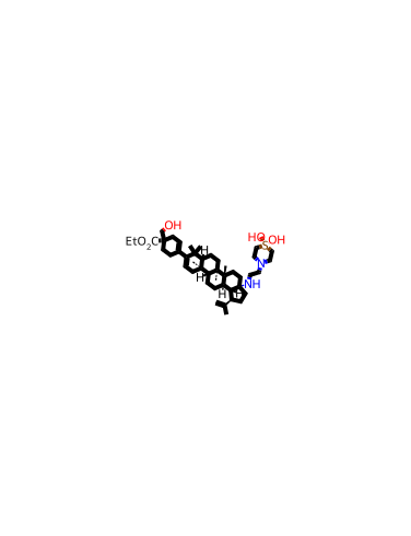 C=C(C)[C@@H]1CC[C@]2(NCCN3CCS(O)(O)CC3)CC[C@]3(C)[C@H](CC[C@@H]4[C@@]5(C)CC=C(C6=CCC(CO)(C(=O)OCC)CC6)C(C)(C)[C@@H]5CC[C@]43C)[C@@H]12